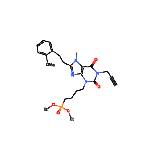 C#CCn1c(=O)c2c(nc(CCc3ccccc3OC)n2C)n(CCCCP(=O)(OCC)OCC)c1=O